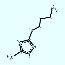 Cc1nnc(SCCCN)s1